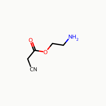 N#CCC(=O)OCCN